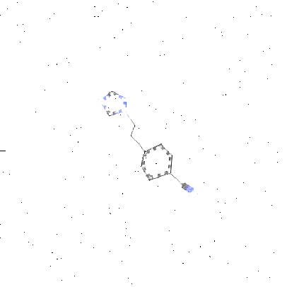 N#Cc1ccc(CCn2cncn2)cc1